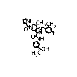 Cc1cc(F)ccc1Cn1nc(C(=O)Nc2cccc([C@H](C)O)c2)c2c1C(C)CN(C(=O)c1ccc[nH]1)C2